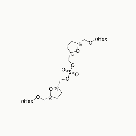 CCCCCCOC[C@H]1CC[C@@H](COS(=O)(=O)OC[C@@H]2CC[C@H](COCCCCCC)O2)O1